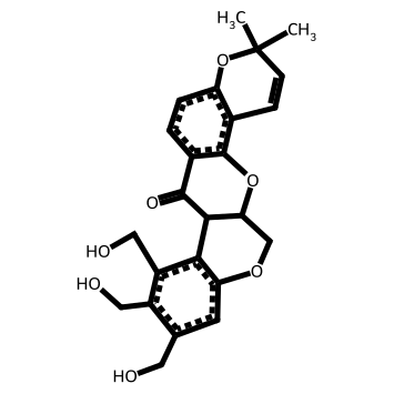 CC1(C)C=Cc2c(ccc3c2OC2COc4cc(CO)c(CO)c(CO)c4C2C3=O)O1